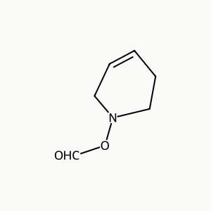 O=CON1CC=CCC1